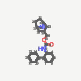 O=C(Nc1ccccc1-c1ccccc1)OCC1CC2CCC(C1)N2